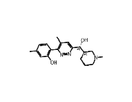 Cc1ccc(-c2nnc([C@H](O)[C@@H]3CCCN(C)C3)cc2C)c(O)c1